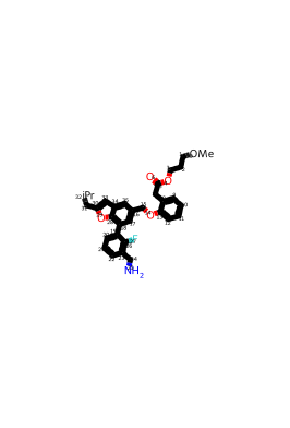 COCCCOC(=O)Cc1ccccc1OCc1cc(-c2cccc(CN)c2F)c2oc(CC(C)C)cc2c1